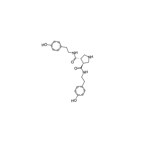 O=C(NCCc1ccc(O)cc1)[C@@H]1CNC[C@H]1C(=O)NCCc1ccc(O)cc1